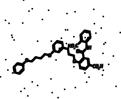 O=C(O)c1ccc(OCCCc2cccc(OCCCCOc3ccccc3)c2)c(C(=O)Nc2ccccc2C(=O)O)c1